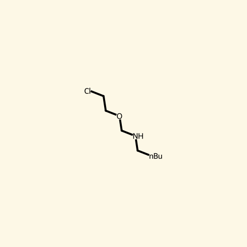 CCCCCNCOCCCl